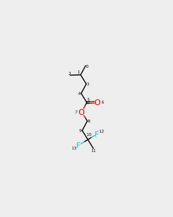 CC(C)CCC(=O)OCCC(C)(F)F